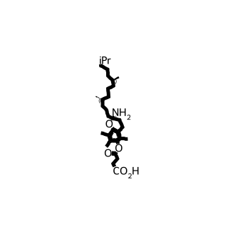 Cc1c(C)c2c(c(C)c1OC(=O)CCC(=O)O)CC[C@@](N)(CCC[C@H](C)CCC[C@H](C)CCCC(C)C)O2